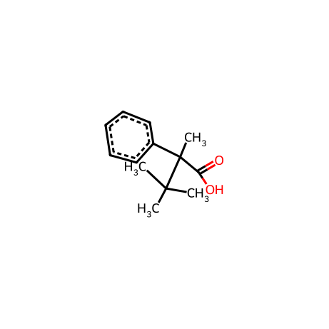 CC(C)(C)C(C)(C(=O)O)c1ccccc1